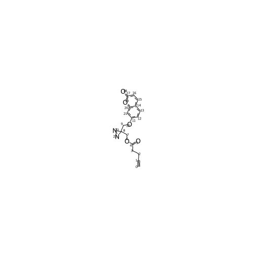 C#CCCC(=O)OCC1(COc2ccc3ccc(=O)oc3c2)N=N1